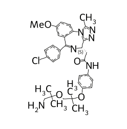 COc1ccc2c(c1)C(c1ccc(Cl)cc1)=N[C@@H](CC(=O)Nc1ccc(OC(C)(C)COC(C)(C)CN)cc1)c1nnc(C)n1-2